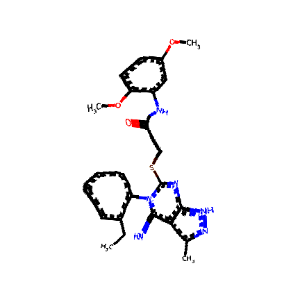 CCc1ccccc1-n1c(SCC(=O)Nc2cc(OC)ccc2OC)nc2[nH]nc(C)c2c1=N